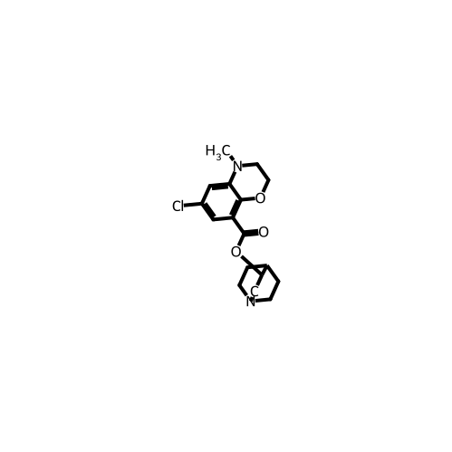 CN1CCOc2c(C(=O)OC3CN4CCC3CC4)cc(Cl)cc21